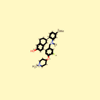 CCN(Cc1ccc(OC2CCN(C)CC2)c(F)c1)c1cc(OC)ccc1[C@@H]1CCc2cc(O)ccc2C1